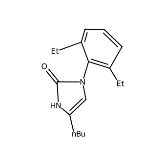 CCCCc1cn(-c2c(CC)cccc2CC)c(=O)[nH]1